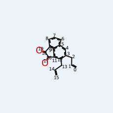 C=CCc1cc2cccc3c2c(c1CC=C)C(=O)C3=O